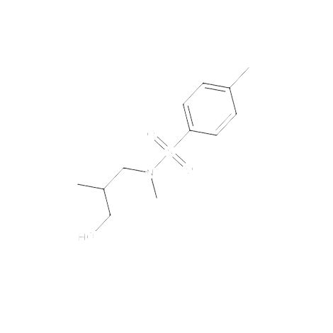 Cc1ccc(S(=O)(=O)N(C)CC(C)CO)cc1